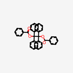 O=C(OC(c1ccccc1)(c1ccccc1)C(OC(=O)c1ccccc1)(c1ccccc1)c1ccccc1)c1ccccc1